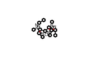 N#Cc1c(-n2c3ccccc3c3ccccc32)c(-c2ccc3c(c2)n2c4cc(-c5ccccc5)ccc4nc2n3-c2ccccc2)cc(-c2ccc3c(c2)n2c4cc(-c5ccccc5)ccc4nc2n3-c2ccccc2)c1-n1c2ccccc2c2ccccc21